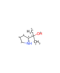 CC(C)(O)C1CCCN1